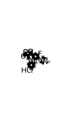 CN1CCN(c2c(F)cc3c(=O)c(C(=O)O)cn(-c4ccccc4)c3c2F)CC1.Cl